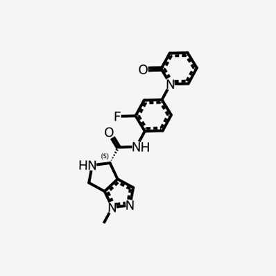 Cn1ncc2c1CN[C@@H]2C(=O)Nc1ccc(-n2ccccc2=O)cc1F